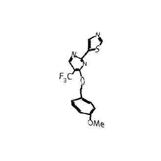 COc1ccc(COc2nc(-c3cncs3)ncc2C(F)(F)F)cc1